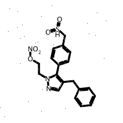 O=[N+]([O-])OCCn1ncc(Cc2ccccc2)c1-c1ccc(C[SH](=O)=O)cc1